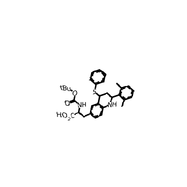 Cc1cccc(C)c1C1CC(Sc2ccccc2)c2cc(C[C@H](NC(=O)OC(C)(C)C)C(=O)O)ccc2N1